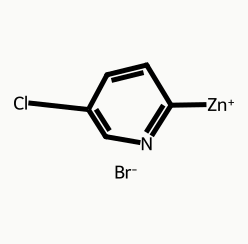 Clc1cc[c]([Zn+])nc1.[Br-]